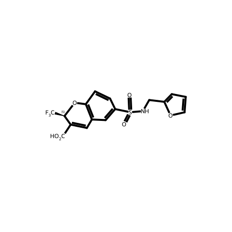 O=C(O)C1=Cc2cc(S(=O)(=O)NCc3ccco3)ccc2O[C@@H]1C(F)(F)F